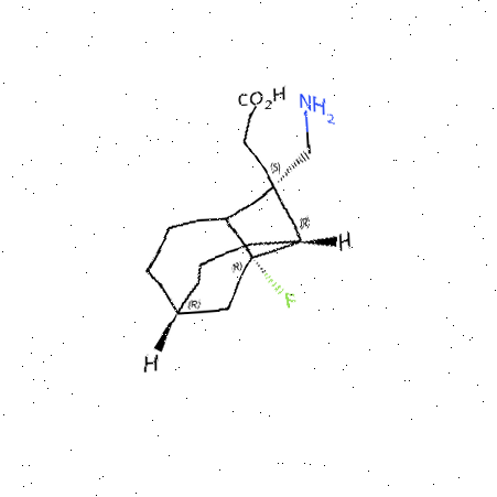 NC[C@@]1(CC(=O)O)C2CC[C@@H]3C[C@H]1[C@@]2(F)C3